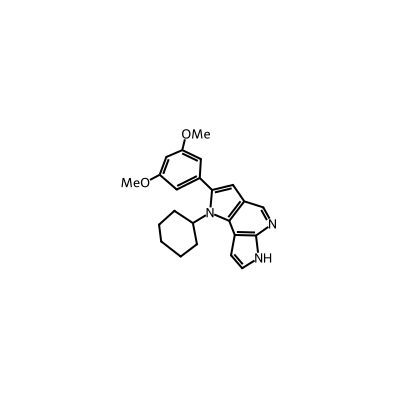 COc1cc(OC)cc(-c2cc3cnc4[nH]ccc4c3n2C2CCCCC2)c1